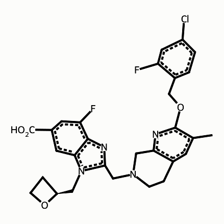 Cc1cc2c(nc1OCc1ccc(Cl)cc1F)CN(Cc1nc3c(F)cc(C(=O)O)cc3n1C[C@@H]1CCO1)CC2